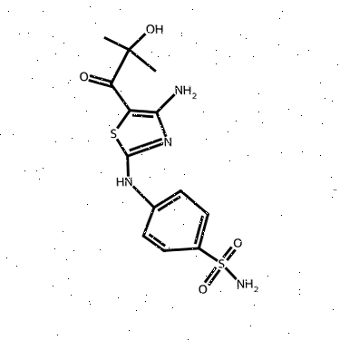 CC(C)(O)C(=O)c1sc(Nc2ccc(S(N)(=O)=O)cc2)nc1N